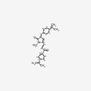 CN1C(=O)/C(=C/c2ccc(N(C)C)cc2)N=C1/C=C/C(=O)c1ccc(N(C)C)cc1